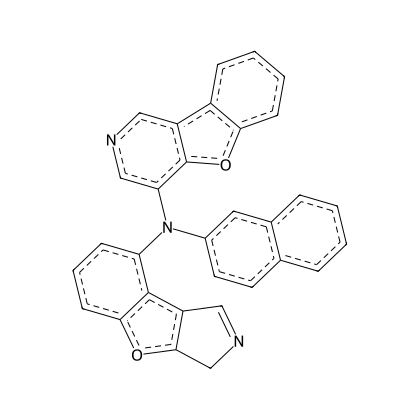 C1=NCc2oc3cccc(N(c4ccc5ccccc5c4)c4cncc5c4oc4ccccc45)c3c21